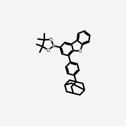 CC1(C)OB(c2cc(-c3ccc(C45CC6CC(CC(C6)C4)C5)cc3)c3oc4ccccc4c3c2)OC1(C)C